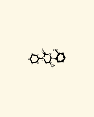 O=C1O[C@@H](c2ccccc2Cl)[C@@H](O)CN1C1CCCCC1